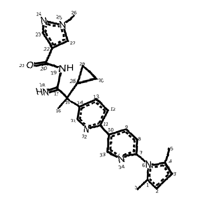 Cc1ccc(C)n1-c1ccc(-c2ccc(C(C)(C(=N)NC(=O)c3cnn(C)c3)C3CC3)cn2)cn1